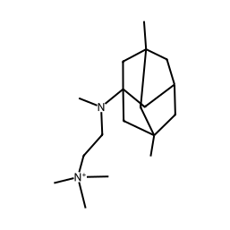 CN(CC[N+](C)(C)C)C12CC3CC(C)(CC(C)(C3)C1)C2